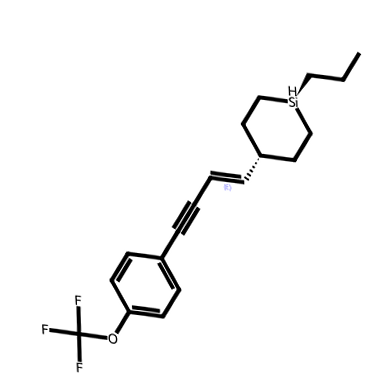 CCC[Si@H]1CC[C@H](/C=C/C#Cc2ccc(OC(F)(F)F)cc2)CC1